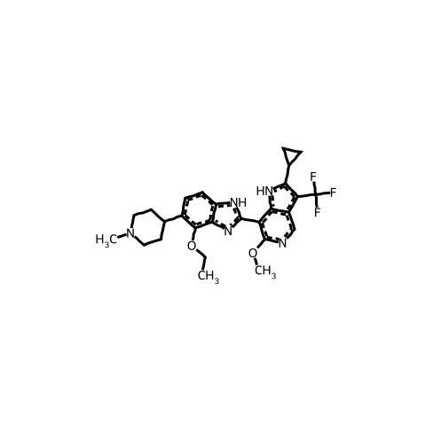 CCOc1c(C2CCN(C)CC2)ccc2[nH]c(-c3c(OC)ncc4c(C(F)(F)F)c(C5CC5)[nH]c34)nc12